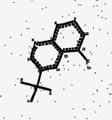 CC(C)(C)c1cnc2cccc(F)c2c1